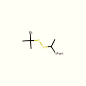 CCCCCC(C)SSC(C)(C)CC